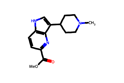 COC(=O)c1ccc2[nH]cc(C3CCN(C)CC3)c2n1